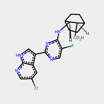 O=C(O)[C@@H]1C2CCC(CC2)[C@H]1Nc1nc(-c2c[nH]c3ncc(Cl)cc23)ncc1F